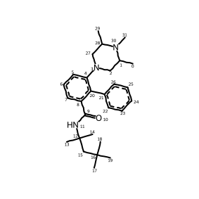 CC1CN(c2cccc(C(=O)NC(C)(C)CC(C)(C)C)c2-c2ccccc2)CC(C)N1C